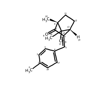 Cc1ccc(C=C2C(=O)[C@]3(C)CC[C@H]2C3(C)C)cc1